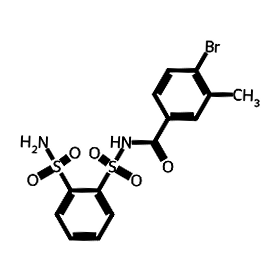 Cc1cc(C(=O)NS(=O)(=O)c2ccccc2S(N)(=O)=O)ccc1Br